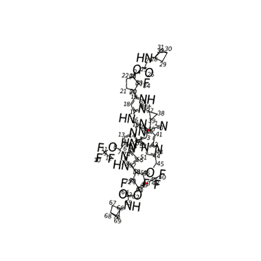 N#Cc1cc2nc(COC(F)(F)F)cn2c(Nc2cc([C@H]3CC[C@@H](OC(=O)NC45CC(C4)C5)[C@@H]3F)[nH][n+]2C2CC2c2cc3nc(COC(F)(F)F)cn3c(Nc3cc([C@H]4CC[C@@H](OC(=O)NC56CC(C5)C6)[C@@H]4F)[nH]n3)n2)n1